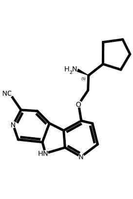 N#Cc1cc2c(cn1)[nH]c1nccc(OC[C@@H](N)C3CCCC3)c12